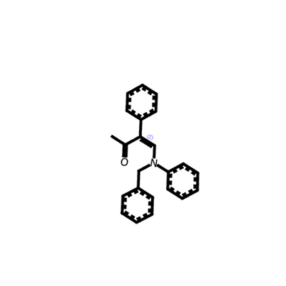 CC(=O)/C(=C\N(Cc1ccccc1)c1ccccc1)c1ccccc1